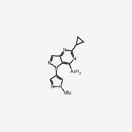 CC(C)(C)n1cc(-n2ncc3nc(C4CC4)nc([AsH2])c32)cn1